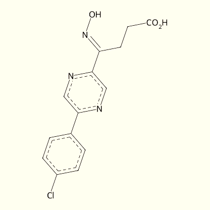 O=C(O)CCC(=NO)c1cnc(-c2ccc(Cl)cc2)cn1